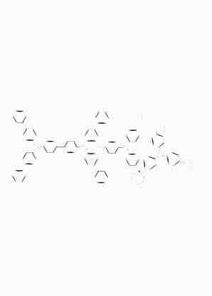 Cc1ccc(N(c2ccc(C)cc2)c2ccc(C3(c4ccc(N(c5ccc(C)cc5)c5ccc(Cc6cc(-c7ccccc7)ccc6N(c6ccc(-c7ccccc7)cc6)c6ccc(-c7ccc(N(c8ccc(-c9ccccc9)cc8)c8ccc(-c9ccccc9)cc8)cc7)cc6)cc5)cc4)CCCCC3)cc2)cc1